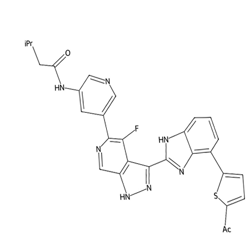 CC(=O)c1ccc(-c2cccc3[nH]c(-c4n[nH]c5cnc(-c6cncc(NC(=O)CC(C)C)c6)c(F)c45)nc23)s1